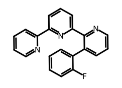 Fc1ccccc1-c1cccnc1-c1cccc(-c2ccccn2)n1